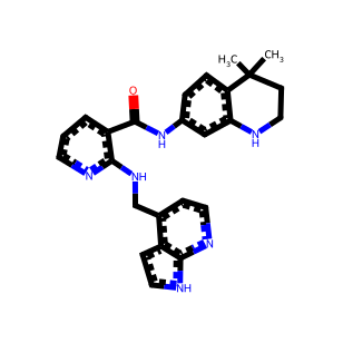 CC1(C)CCNc2cc(NC(=O)c3cccnc3NCc3ccnc4[nH]ccc34)ccc21